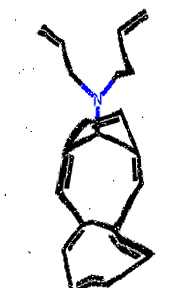 C=CCN(CC=C)C1C2=Cc3ccccc3C=C1C=C2